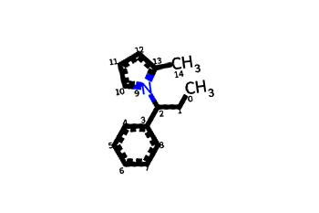 CCC(c1ccccc1)n1cccc1C